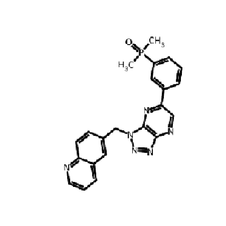 CP(C)(=O)c1cccc(-c2cnc3nnn(Cc4ccc5ncccc5c4)c3n2)c1